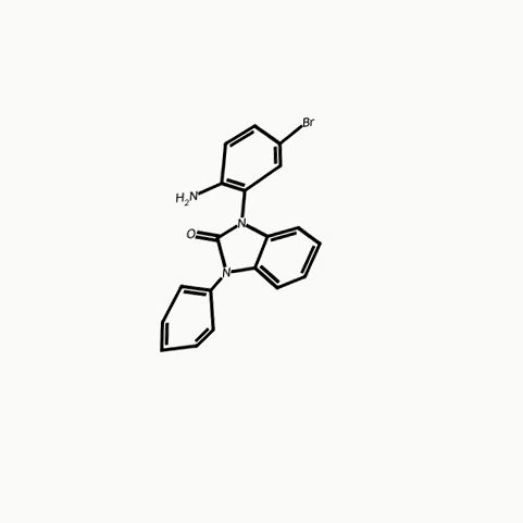 Nc1ccc(Br)cc1-n1c(=O)n(-c2ccccc2)c2ccccc21